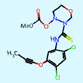 CC#COc1cc(NC(=S)N2COCCN2OC(=O)OC)c(Cl)cc1Cl